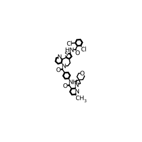 Cc1ccc(C(=O)Nc2ccc(C(=O)N3CCc4cc(NC(=O)c5c(Cl)cccc5Cl)sc4-c4ncccc43)cc2)c(N2CC3(CCOCC3)C2)n1